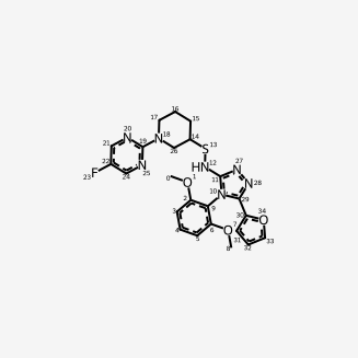 COc1cccc(OC)c1-n1c(NSC2CCCN(c3ncc(F)cn3)C2)nnc1-c1ccco1